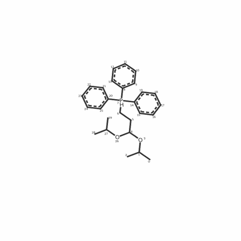 CC(C)OC(CC[PH](c1ccccc1)(c1ccccc1)c1ccccc1)OC(C)C